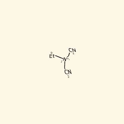 CC[N+](C#N)C#N